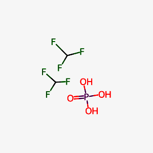 FC(F)F.FC(F)F.O=P(O)(O)O